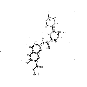 C=C(C=N)c1cc2cc(NC(=S)c3ccnc(N4CCN(C)CC4)c3)ncc2cc1C